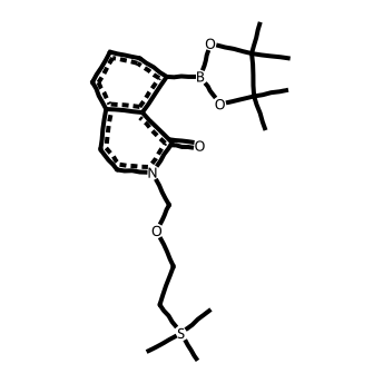 CC1(C)OB(c2cccc3ccn(COCCS(C)(C)C)c(=O)c23)OC1(C)C